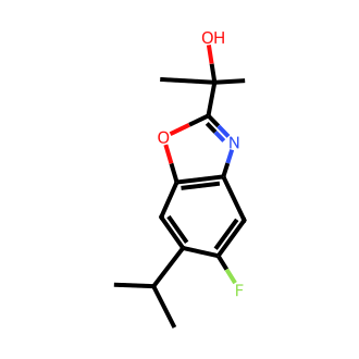 CC(C)c1cc2oc(C(C)(C)O)nc2cc1F